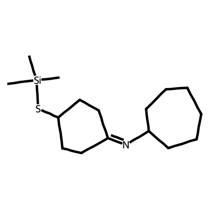 C[Si](C)(C)SC1CCC(=NC2CCCCCC2)CC1